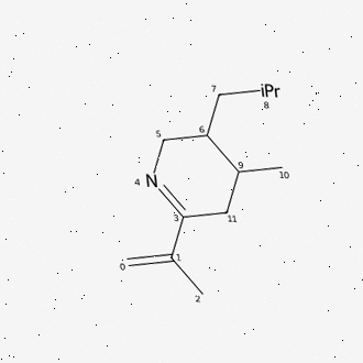 C=C(C)C1=NCC(CC(C)C)C(C)C1